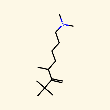 C=C(C(C)CCCCN(C)C)C(C)(C)C